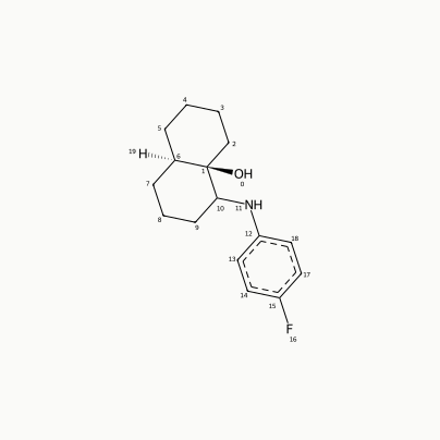 O[C@]12CCCC[C@@H]1CCCC2Nc1ccc(F)cc1